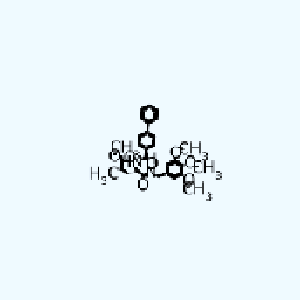 COC(=O)[C@@H](C)C[C@H](NC(=O)c1ccc(-c2ccccc2)cc1)C(=O)NCc1cc(OC)c(OC)c(OC)c1